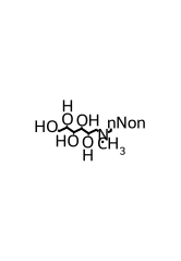 CCCCCCCCCCN(C)C[C@H](O)[C@@H](O)[C@H](O)[C@H](O)CO